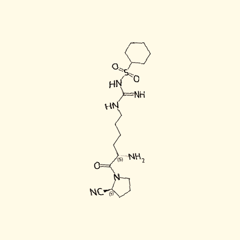 N#C[C@@H]1CCCN1C(=O)[C@@H](N)CCCCNC(=N)NS(=O)(=O)C1CCCCC1